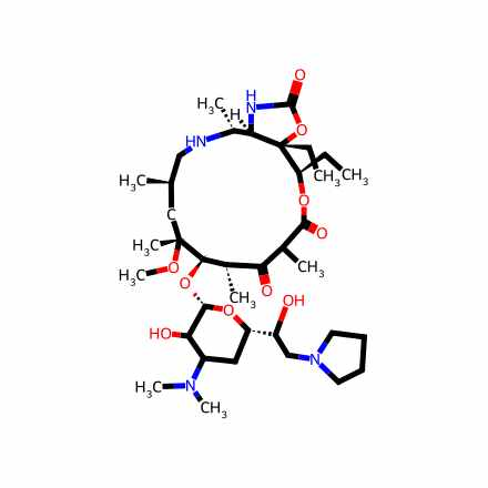 CC[C@H]1OC(=O)C(C)C(=O)[C@H](C)[C@@H](O[C@@H]2O[C@H](C(O)CN3CCCC3)CC(N(C)C)C2O)[C@](C)(OC)C[C@@H](C)CN[C@H](C)[C@H]2NC(=O)O[C@@]21CC